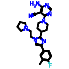 Cc1cc(-c2cn(CCN3CCCC3)c(C3CCN(c4ncnc(N)c4C#N)CC3)n2)ccc1F